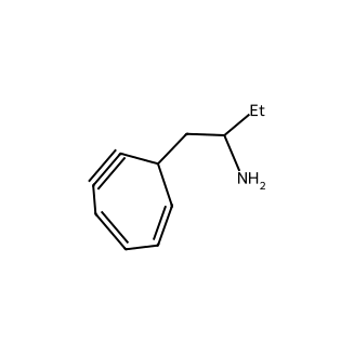 CCC(N)CC1C#CC=CC=C1